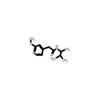 COc1cc(CC(=O)NC(C)C(C)C)ccn1